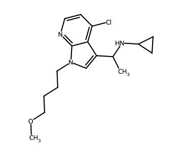 COCCCCn1cc(C(C)NC2CC2)c2c(Cl)ccnc21